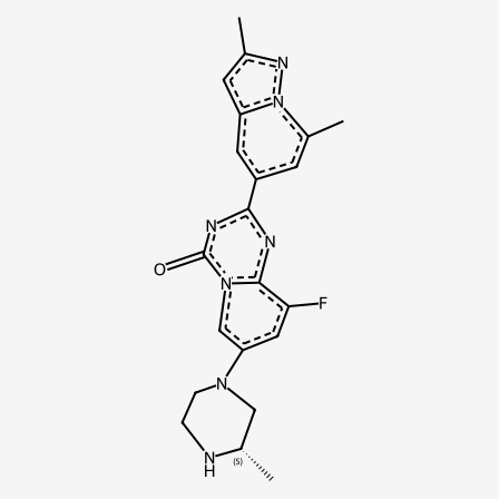 Cc1cc2cc(-c3nc(=O)n4cc(N5CCN[C@@H](C)C5)cc(F)c4n3)cc(C)n2n1